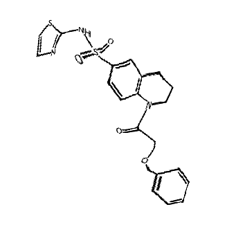 O=C(COc1ccccc1)N1CCCc2cc(S(=O)(=O)Nc3nccs3)ccc21